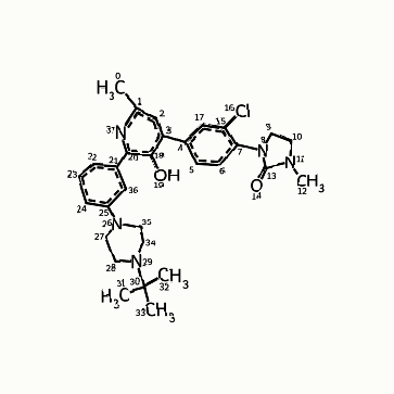 Cc1cc(-c2ccc(N3CCN(C)C3=O)c(Cl)c2)c(O)c(-c2cccc(N3CCN(C(C)(C)C)CC3)c2)n1